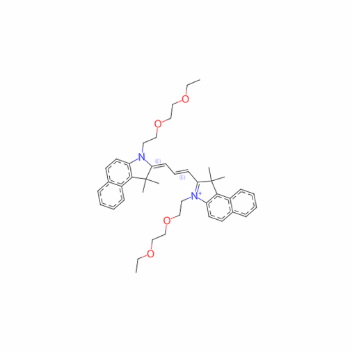 CCOCCOCCN1/C(=C/C=C/C2=[N+](CCOCCOCC)c3ccc4ccccc4c3C2(C)C)C(C)(C)c2c1ccc1ccccc21